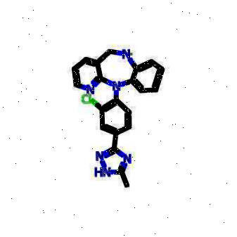 Cc1nc(-c2ccc(N3c4ccccc4[N]Cc4cccnc43)c(Cl)c2)n[nH]1